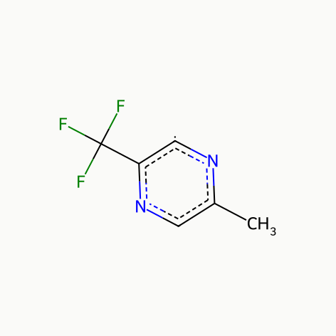 Cc1cnc(C(F)(F)F)[c]n1